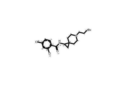 CC(C)(C)CCN1CCC2(CC1)CC2NC(=O)c1ccc(Cl)cc1Cl